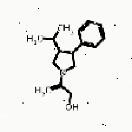 C=C(CO)N1CC(c2ccccc2)C(C(C)C)C1